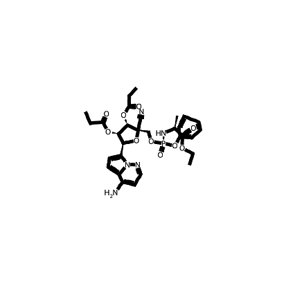 CCOC(=O)[C@H](C)N[P@](=O)(OC[C@@]1(C#N)O[C@@H](c2ccc3c(N)ccnn23)[C@H](OC(=O)CC)[C@@H]1OC(=O)CC)Oc1ccccc1